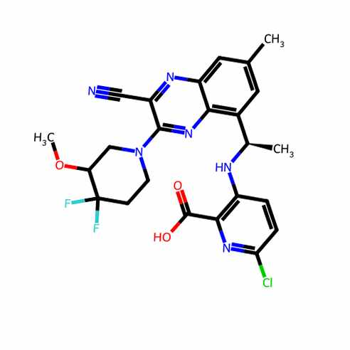 COC1CN(c2nc3c([C@@H](C)Nc4ccc(Cl)nc4C(=O)O)cc(C)cc3nc2C#N)CCC1(F)F